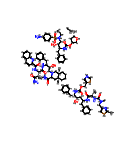 CC(C)(C)NC(=O)[C@@H]1C[C@@H]2CCCC[C@@H]2CN1C[C@@H](O)[C@H](Cc1ccccc1)NC(=O)[C@H](CC(N)=O)NC(=O)c1ccc2ccccc2n1.CC(C)CN(C[C@@H](O)[C@H](Cc1ccccc1)NC(=O)O[C@H]1CCOC1)S(=O)(=O)c1ccc(N)cc1.CC(C)c1nc(CN(C)C(=O)N[C@H](C(=O)N[C@@H](Cc2ccccc2)C[C@H](O)[C@H](Cc2ccccc2)NC(=O)OCc2cncs2)C(C)C)cs1.CS(=O)(=O)O